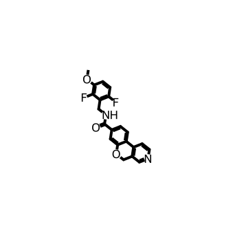 COc1ccc(F)c(CNC(=O)c2ccc3c(c2)OCc2cnccc2-3)c1F